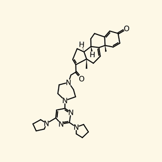 C[C@]12C=CC(=O)C=C1CC[C@@H]1C2=CC[C@]2(C)C(C(=O)CN3CCN(c4cc(N5CCCC5)nc(N5CCCC5)n4)CC3)=CC[C@@H]12